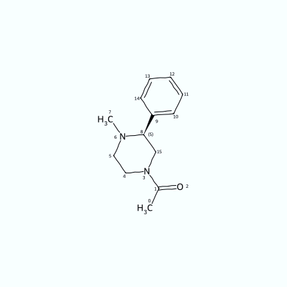 CC(=O)N1CCN(C)[C@@H](c2ccccc2)C1